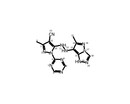 Cc1nn(-c2ncncn2)c(NNc2c(C)nn3cn[nH]c23)c1C#N